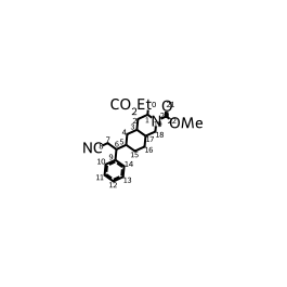 CCOC(=O)C1CC2CC(C(CC#N)c3ccccc3)CCC2CN1C(=O)OC